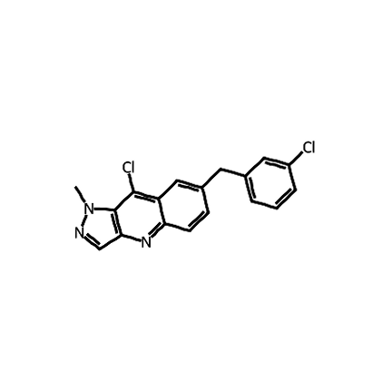 Cn1ncc2nc3ccc(Cc4cccc(Cl)c4)cc3c(Cl)c21